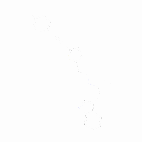 Cc1ccc(C#Cc2ccc(CCN[C@@H](Cc3c[nH]c4ccccc34)C(=O)O)s2)cc1